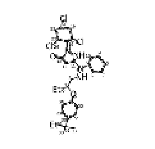 CCC(CNN(c1ccccc1)c1cc(=O)n(-c2c(Cl)cc(Cl)cc2Cl)[nH]1)Oc1ccc(C(C)(C)CC)cc1